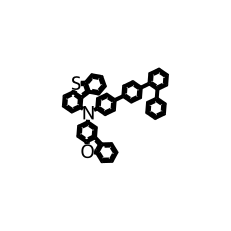 c1ccc(-c2ccccc2-c2ccc(-c3ccc(N(c4ccc5oc6ccccc6c5c4)c4cccc5sc6ccccc6c45)cc3)cc2)cc1